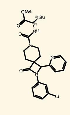 CC[C@H](C)[C@H](NC(=O)N1CCC2(CC1)C(=O)N(c1cccc(Cl)c1)C2c1ccccn1)C(=O)OC